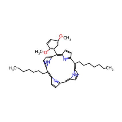 CCCCCCCc1c2nc(c(-c3cc(OC)ccc3OC)c3ccc([nH]3)c(CCCCCCC)c3nc(cc4ccc1[nH]4)C=C3)C=C2